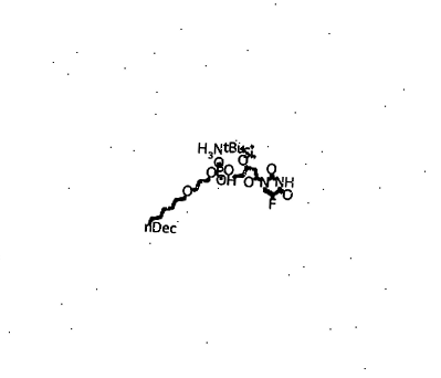 CCCCCCCCCCCCCCCCOCCCOP(=O)(O)OCC1OC(n2cc(F)c(=O)[nH]c2=O)CC1O[Si](C)(C)C(C)(C)C.N